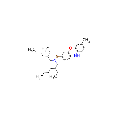 CCCCC(CC)CN(CC(CC)CCCC)Sc1ccc2c(c1)Oc1cc(C)ccc1N2